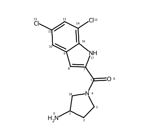 NC1CCN(C(=O)c2cc3cc(Cl)cc(Cl)c3[nH]2)C1